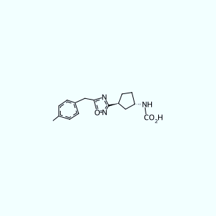 Cc1ccc(Cc2nc([C@H]3CC[C@H](NC(=O)O)C3)no2)cc1